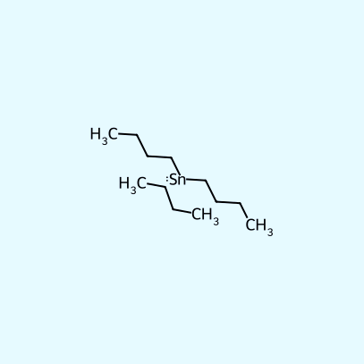 CCCC.CCC[CH2][Sn][CH2]CCC